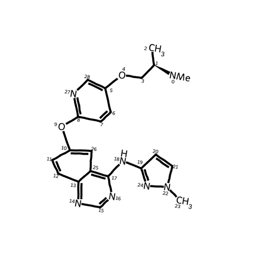 CN[C@H](C)COc1ccc(Oc2ccc3ncnc(Nc4ccn(C)n4)c3c2)nc1